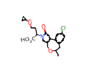 CC1Cc2ccc(Cl)cc2-c2cc(=O)n(C(CCOC3CC3)C(=O)O)cc2CO1